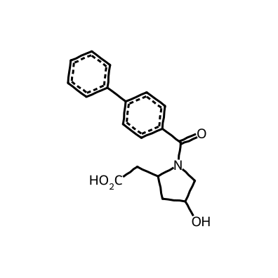 O=C(O)CC1CC(O)CN1C(=O)c1ccc(-c2ccccc2)cc1